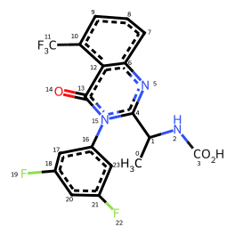 CC(NC(=O)O)c1nc2cccc(C(F)(F)F)c2c(=O)n1-c1cc(F)cc(F)c1